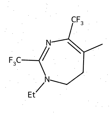 CCN1CCC(C)=C(C(F)(F)F)N=C1C(F)(F)F